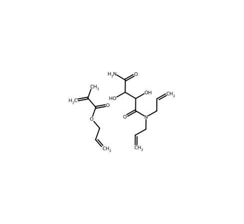 C=CCN(CC=C)C(=O)C(O)C(O)C(N)=O.C=CCOC(=O)C(=C)C